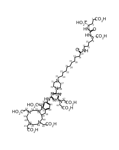 O=C(O)CC[C@H](NC(=O)N[C@@H](CCCCNC(=O)CCCCCCCCCCN1CCN(c2nc(Nc3ccc(CC4CN(CC(=O)O)CCN(CC(=O)O)CCN(CC(=O)O)CCN4CCC(=O)O)cc3)nc(N(CC(=O)O)CC(=O)O)n2)CC1)C(=O)O)C(=O)O